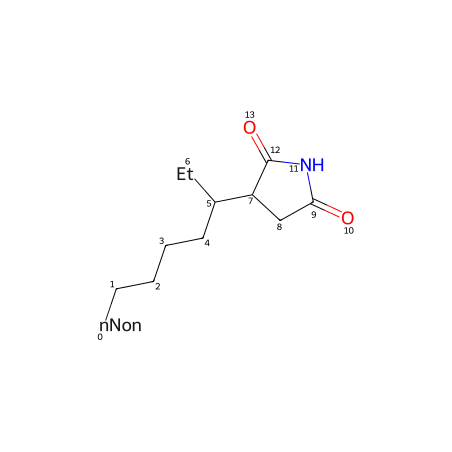 CCCCCCCCCCCCCC(CC)C1CC(=O)NC1=O